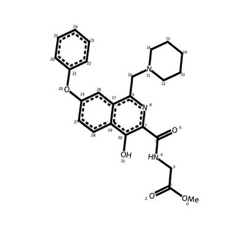 COC(=O)CNC(=O)c1nc(CN2CCCCC2)c2cc(Oc3ccccc3)ccc2c1O